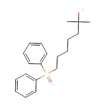 CC(C)(O)CCCCCP(=O)(c1ccccc1)c1ccccc1